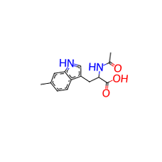 CC(=O)NC(Cc1c[nH]c2cc(C)ccc12)C(=O)O